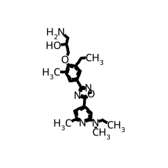 CCc1cc(-c2noc(-c3cc(C)nc(N(C)CC)c3)n2)cc(C)c1OCC(O)CN